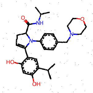 CC(C)NC(=O)C1CC=C(c2cc(C(C)C)c(O)cc2O)N1c1ccc(CN2CCOCC2)cc1